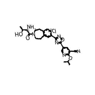 CC(C)Oc1ncc(-c2nc(-c3ccc4c(c3)CCN(C(=O)[C@@H](N)C(C)O)CC4)no2)cc1C#N.Cl